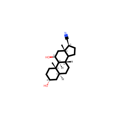 C[C@]12CC[C@@H](O)C[C@@H]1CC[C@H]1C3CC[C@H](C#N)[C@@]3(C)C[C@H](O)[C@@H]12